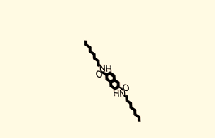 CCCCCCCCNC(=O)C1C=CC2C[C@@H](C(=O)NCCCCCCCC)CCC2C1